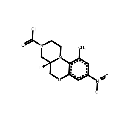 Cc1cc([N+](=O)[O-])cc2c1N1CCN(C(=O)O)C[C@H]1CO2